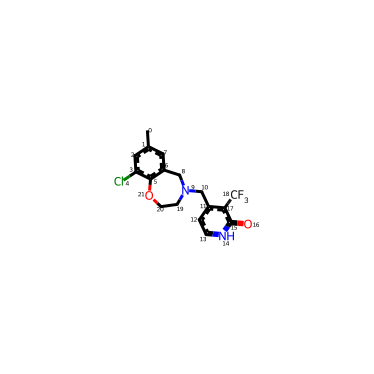 Cc1cc(Cl)c2c(c1)CN(Cc1cc[nH]c(=O)c1C(F)(F)F)CCO2